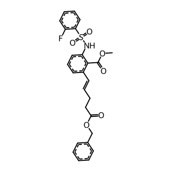 COC(=O)c1c(C=CCCC(=O)OCc2ccccc2)cccc1NS(=O)(=O)c1ccccc1F